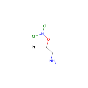 NCCON(Cl)Cl.[Pt]